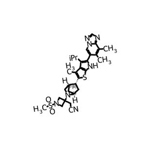 Cc1c(-c2[nH]c3sc([C@@H]4C[C@@H]5C[C@H]4CN5C4(CC#N)CN(S(C)(=O)=O)C4)c(C)c3c2C(C)C)cn2ncnc2c1C